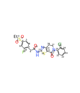 CCS(=O)(=O)c1ccc(CC(=O)Nc2nc3c(s2)C(=O)N(c2ccccc2Cl)CC3)c(F)c1